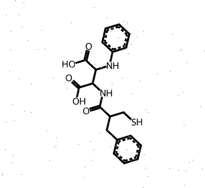 O=C(NC(C(=O)O)C(Nc1ccccc1)C(=O)O)C(CS)Cc1ccccc1